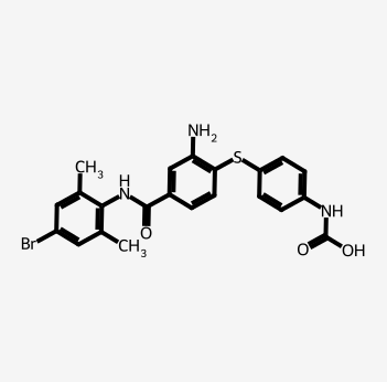 Cc1cc(Br)cc(C)c1NC(=O)c1ccc(Sc2ccc(NC(=O)O)cc2)c(N)c1